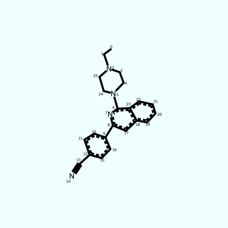 CCN1CCN(c2nc(-c3ccc(C#N)cc3)cc3ccccc23)CC1